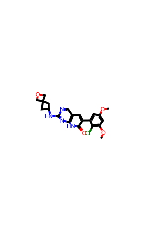 COc1cc(OC)c(Cl)c(-c2cc3cnc(NC4CC5(COC5)C4)nc3[nH]c2=O)c1